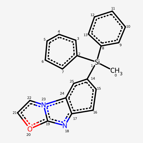 C[Si](c1ccccc1)(c1ccccc1)c1ccc2nc3occn3c2c1